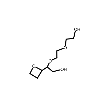 OCCOCCOC(CO)C1CCO1